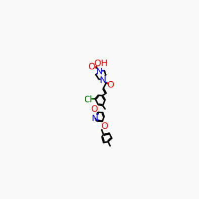 Cc1ccc(COc2ccc(Oc3c(C)cc(/C=C/C(=O)N4CCN(C(=O)O)CC4)cc3Cl)nc2)cc1